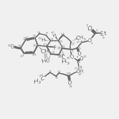 CCC(=O)OCC(=O)[C@@]1(OC(=O)CC)[C@@H](C)C[C@H]2[C@@H]3CCC4=CC(=O)C=C[C@]4(C)C3(F)[C@@H](O)C[C@@]21C.CCCCC(=O)O